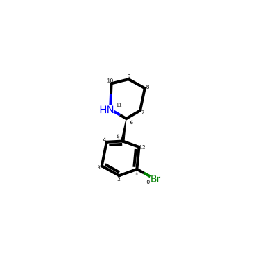 Brc1cccc([C@@H]2CCCCN2)c1